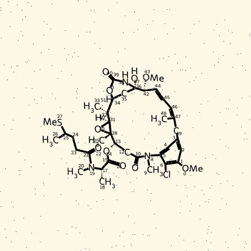 COc1cc2cc(c1Cl)N(C)C(=O)C[C@H](OC(=O)[C@H](C)N(C)C(=O)CCC(C)SC)[C@]1(C)O[C@H]1[C@H](C)[C@@H]1C[C@@](O)(NC(=O)O1)[C@H](OC)/C=C/C=C(\C)C2